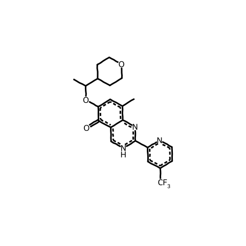 Cc1cc(OC(C)C2CCOCC2)c(=O)c2c[nH]c(-c3cc(C(F)(F)F)ccn3)nc1-2